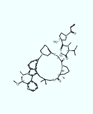 C=CC(=O)N1CC[C@](O)(C(=O)N(C)[C@H](C(=O)N[C@H]2CC3=CCCN(C3)c3ccc4c(c3)c(c(-c3cccnc3[C@H](C)OC)n4CC)CC(C)(C)COC(=O)[C@@H]3CCCN(N3)C2=O)C(C)C)C1